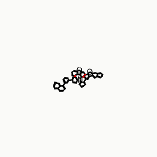 c1cc(-c2ccc(N(c3ccccc3-c3ccc4oc5cc6ccccc6cc5c4c3)c3cccc4oc5ccccc5c34)cc2)cc(-c2cccc3ccccc23)c1